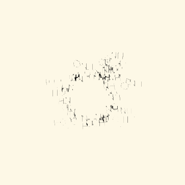 CC(=O)N[C@H](Cc1c[nH]c2ccccc12)C(=O)N[C@@H](CC(N)=O)C(=O)NC(CC(=O)O)C(=O)NC1C(=O)NCC(=O)NC(CCCN)C(=O)NC(CC(=O)O)C(=O)NC(C)C(=O)NC(CC(=O)O)C(=O)NCC(=O)NC(CO)C(=O)NC(C(C)CC(=O)O)C(=O)NC(CC(=O)c2ccccc2N)C(=O)OC1C